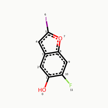 Oc1cc2cc(I)oc2cc1F